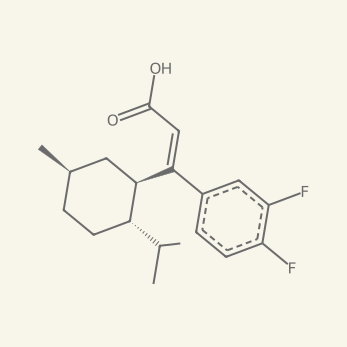 CC(C)[C@@H]1CC[C@@H](C)C[C@H]1/C(=C\C(=O)O)c1ccc(F)c(F)c1